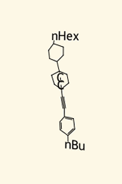 CCCCCCC1CCC(C23CCC(C#Cc4ccc(CCCC)cc4)(CC2)CC3)CC1